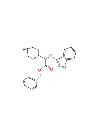 O=C(OCc1ccccc1)C(Oc1noc2ccccc12)C1CCNCC1